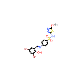 CCOc1nnc(NS(=O)(=O)c2ccc(/N=C/c3cc(Br)cc(Br)c3O)cc2)s1